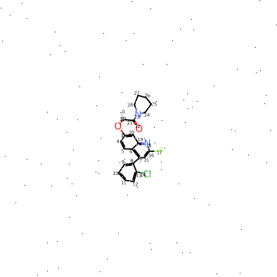 C[C@@H](Oc1ccc2c(-c3ccccc3Cl)cc(F)nc2c1)C(=O)N1CCCCC1